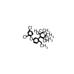 CCc1ccc(Oc2ccc(Cl)cc2Cl)cc1C1=C(O)C(C)(C)OC(C)(C)C1=O